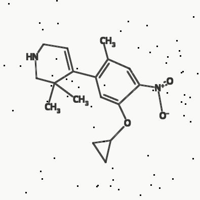 Cc1cc([N+](=O)[O-])c(OC2CC2)cc1C1=CCNCC1(C)C